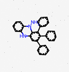 NN1c2ccccc2Nc2cc(-c3ccccc3)c(-c3ccccc3)c(-c3ccccc3)c21